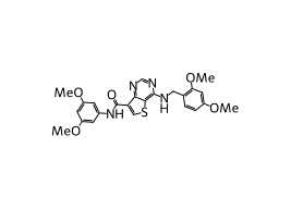 COc1cc(NC(=O)c2csc3c(NCc4ccc(OC)cc4OC)ncnc23)cc(OC)c1